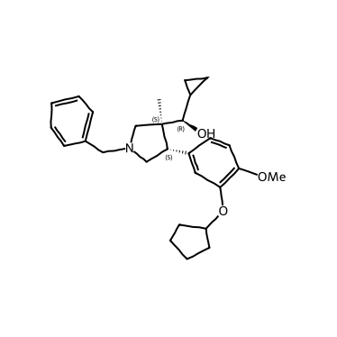 COc1ccc([C@@H]2CN(Cc3ccccc3)C[C@@]2(C)[C@H](O)C2CC2)cc1OC1CCCC1